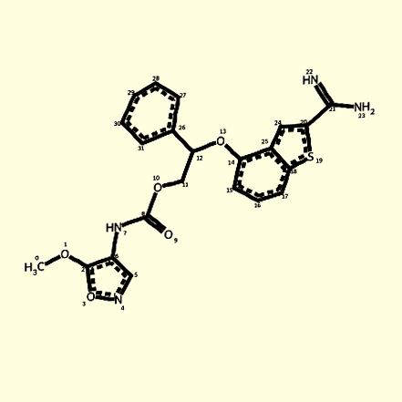 COc1oncc1NC(=O)OCC(Oc1cccc2sc(C(=N)N)cc12)c1ccccc1